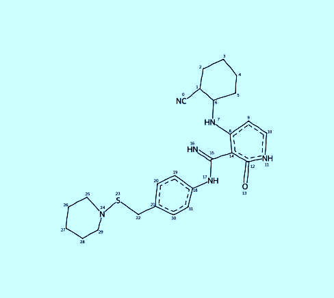 N#CC1CCCCC1Nc1cc[nH]c(=O)c1C(=N)Nc1ccc(CSN2CCCCC2)cc1